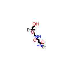 CCNC(=O)CCC(=O)NCCOC(C)(CC)CCO